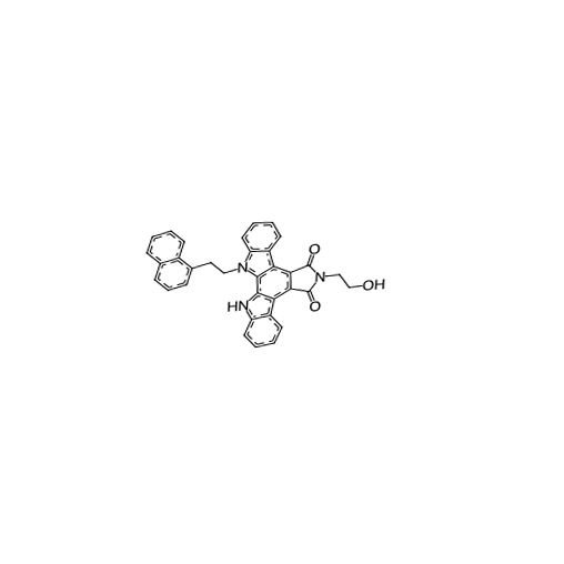 O=C1c2c(c3c4ccccc4n(CCc4cccc5ccccc45)c3c3[nH]c4ccccc4c23)C(=O)N1CCO